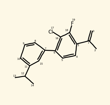 C=C(C)c1ccc(-c2cccc(C(C)C)c2)c(Cl)c1F